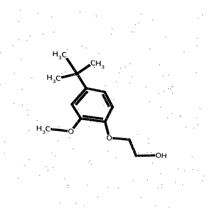 COc1cc(C(C)(C)C)ccc1OCCO